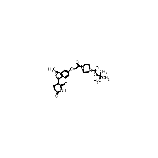 Cn1nc(C2CCC(=O)NC2=O)c2ccc(OCC(=O)N3CCN(C(=O)OC(C)(C)C)CC3)cc21